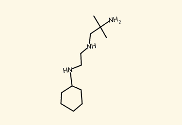 CC(C)(N)CNCCNC1CCCCC1